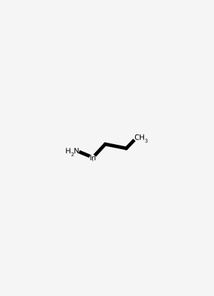 CC[CH2][In][NH2]